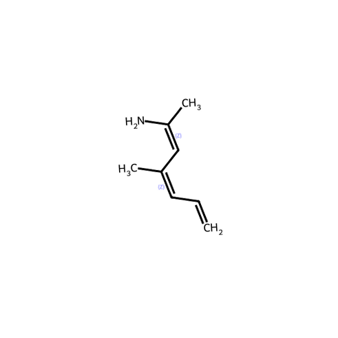 C=C/C=C(C)\C=C(\C)N